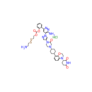 Cl.NCCSSCCOC(=O)Oc1ccccc1-c1cc(-n2cc(N3CCN(C4CCC(c5cccc6c5OCCN6[C@H]5CCC(=O)NC5=O)CC4)CC3=O)cn2)c(N)nn1